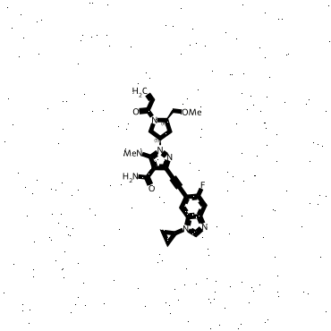 C=CC(=O)N1C[C@@H](n2nc(C#Cc3cc4c(cc3F)ncn4C3CC3)c(C(N)=O)c2NC)C[C@@H]1COC